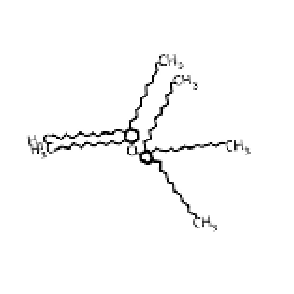 CCCCCCCCCCCCc1ccc(Oc2ccc(CCCCCCCCCCCC)c(CCCCCCCCCCCC)c2CCCCCCCCCCCC)c(CCCCCCCCCCCC)c1CCCCCCCCCCCC